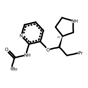 CC(C)CC(Oc1cccnc1NC(=O)C(C)(C)C)[C@H]1CCNC1